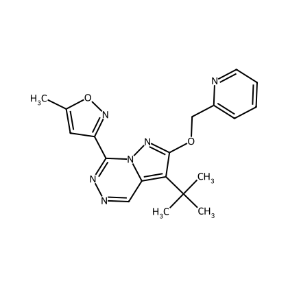 Cc1cc(-c2nncc3c(C(C)(C)C)c(OCc4ccccn4)nn23)no1